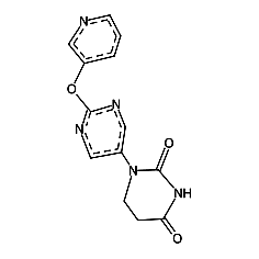 O=C1CCN(c2cnc(Oc3cccnc3)nc2)C(=O)N1